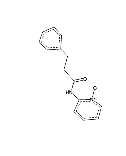 O=C(CCc1ccccc1)Nc1cccc[n+]1[O-]